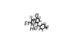 CCc1[nH]c2c(C(=O)c3ccc(F)cc3)ccc(=O)n2c1C